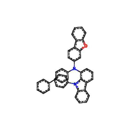 c1ccc(-c2ccc(N(c3ccc4c(c3)oc3ccccc34)c3cccc4c5ccccc5n(-c5ccccc5)c34)cc2)cc1